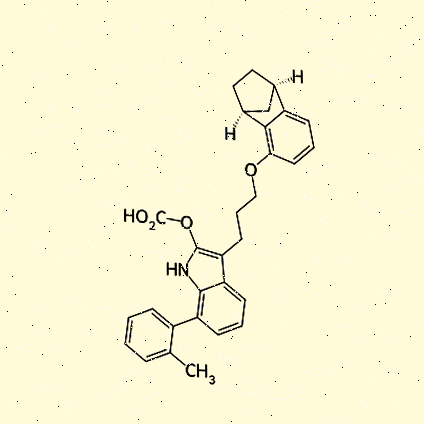 Cc1ccccc1-c1cccc2c(CCCOc3cccc4c3[C@H]3CC[C@@H]4C3)c(OC(=O)O)[nH]c12